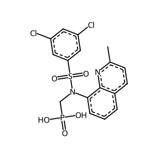 Cc1ccc2cccc(N(CP(=O)(O)O)S(=O)(=O)c3cc(Cl)cc(Cl)c3)c2n1